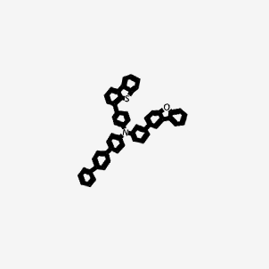 c1ccc(-c2ccc(-c3ccc(N(c4ccc(-c5cccc6c5sc5ccccc56)cc4)c4cccc(-c5ccc6oc7ccccc7c6c5)c4)cc3)cc2)cc1